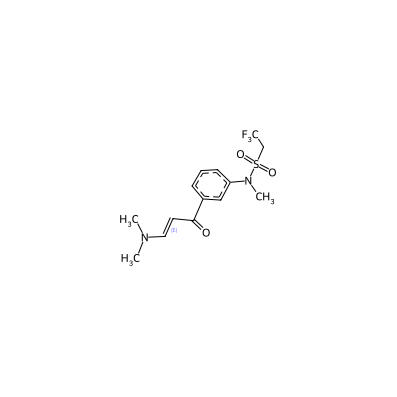 CN(C)/C=C/C(=O)c1cccc(N(C)S(=O)(=O)CC(F)(F)F)c1